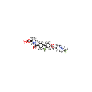 CC(C)(F)CN1CCC(COc2ccc(-c3ccc(C(=O)N4CCC[C@@H](O)C4)cc3)c(F)c2)CC1